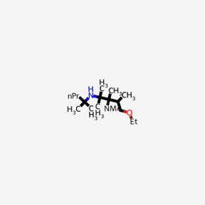 CCCC(C)(C)NC(C)(C)C(C)(NC)C(C)COCC